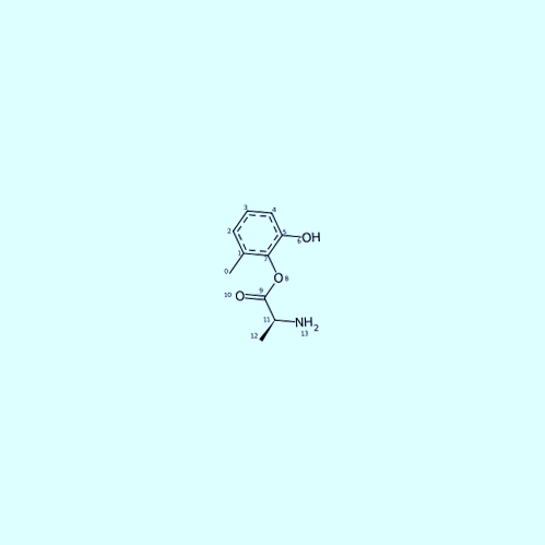 Cc1cccc(O)c1OC(=O)[C@H](C)N